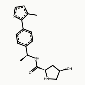 Cc1ncsc1-c1ccc([C@H](C)NC(=O)[C@H]2C[C@@H](O)CN2)cc1